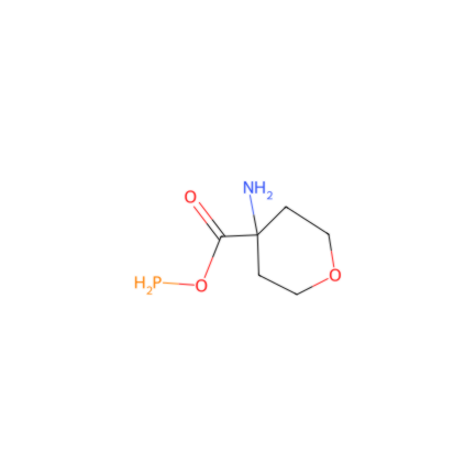 NC1(C(=O)OP)CCOCC1